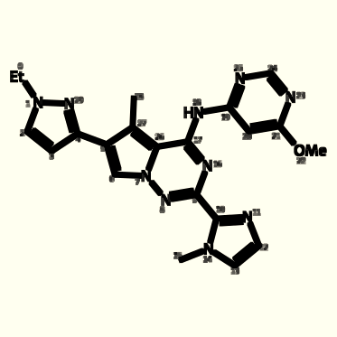 CCn1ccc(-c2cn3nc(-c4nccn4C)nc(Nc4cc(OC)ncn4)c3c2C)n1